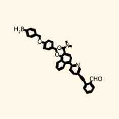 Bc1ccc(COC2=CC=C(COC3=c4ccccc4=C(c4ccc(C#Cc5ccccc5C=O)cn4)CC=C3C(=O)N(C)C)CC2)cc1